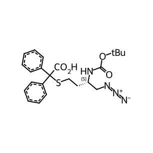 CC(C)(C)OC(=O)N[C@@H](CCSC(C(=O)O)(c1ccccc1)c1ccccc1)CN=[N+]=[N-]